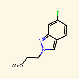 COCCn1cc2ccc(Cl)cc2n1